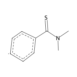 CN(C)C(=S)c1cc[c]cc1